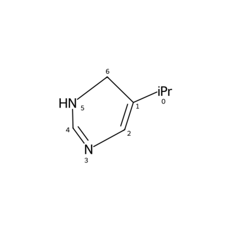 CC(C)C1=CN=CNC1